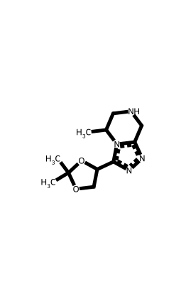 CC1CNCc2nnc(C3COC(C)(C)O3)n21